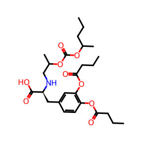 CCCC(=O)Oc1ccc(C[C@H](NCC(C)OC(=O)OC(C)CCC)C(=O)O)cc1OC(=O)CCC